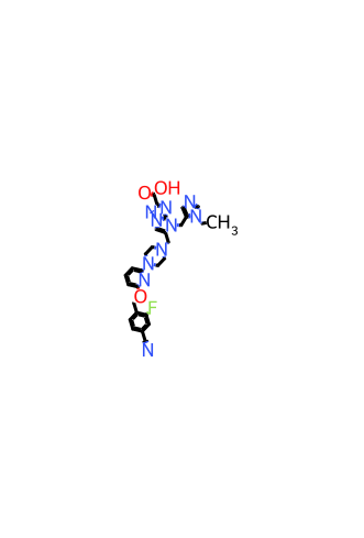 CCn1cncc1Cn1c(CN2CCN(c3cccc(OCc4ccc(C#N)cc4F)n3)CC2)cn2nc(C(=O)O)nc12